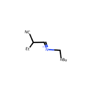 CCCCC/N=C/C(C#N)CC